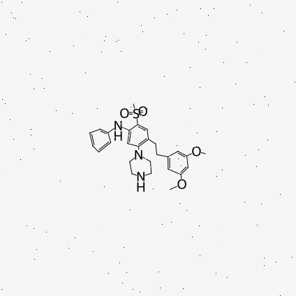 COc1cc(CCc2cc(S(C)(=O)=O)c(Nc3ccccc3)cc2N2CCNCC2)cc(OC)c1